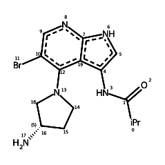 CC(C)C(=O)Nc1c[nH]c2ncc(Br)c(N3CC[C@H](N)C3)c12